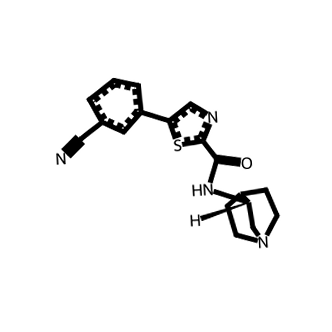 N#Cc1cccc(-c2cnc(C(=O)N[C@H]3CN4CCC3CC4)s2)c1